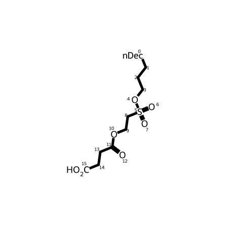 CCCCCCCCCCCCCOS(=O)(=O)CCOC(=O)CCC(=O)O